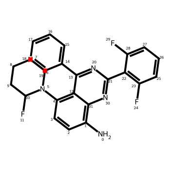 Nc1ccc(N2CCCCC2F)c2c(-c3cccnc3)nc(-c3c(F)cccc3F)nc12